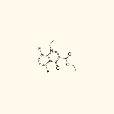 CCOC(=O)c1cn(CC)c2c(F)ccc(F)c2c1=O